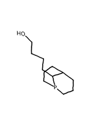 OCCCCC1C2CCCP1CCC2